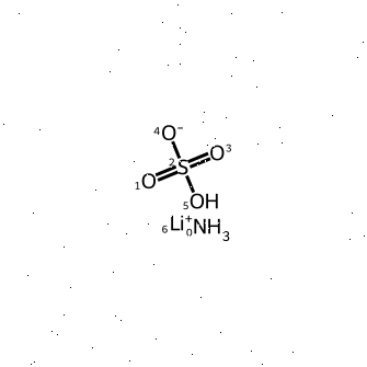 N.O=S(=O)([O-])O.[Li+]